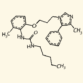 CCCCCNC(=O)Nc1c(C)cccc1OCCCn1cnc(C)c1-c1ccccc1